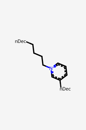 CCCCCCCCCCCCCC[n+]1cccc(CCCCCCCCCC)c1